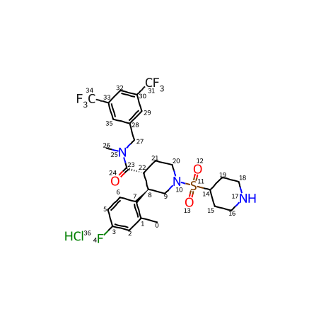 Cc1cc(F)ccc1[C@@H]1CN(S(=O)(=O)C2CCNCC2)CC[C@H]1C(=O)N(C)Cc1cc(C(F)(F)F)cc(C(F)(F)F)c1.Cl